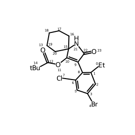 CCc1cc(Br)cc(Cl)c1C1=C(OC(=O)C(C)(C)C)C2(CCCCC2)NC1=O